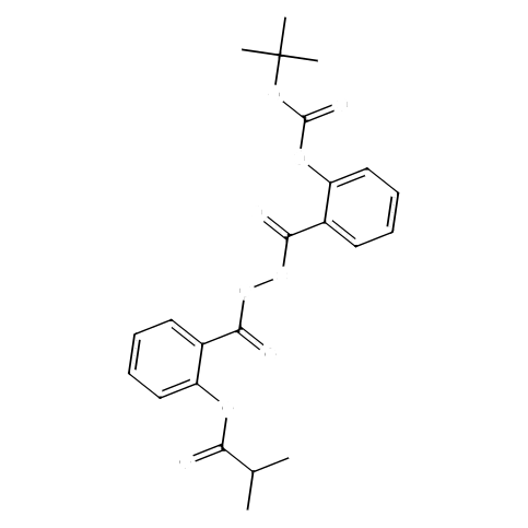 CC(C)C(=O)Oc1ccccc1C(=O)OOC(=O)c1ccccc1OC(=O)OC(C)(C)C